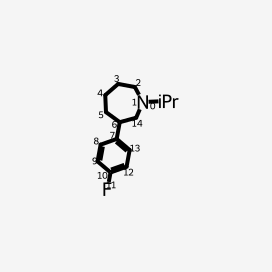 CC(C)N1CCCCC(c2ccc(F)cc2)C1